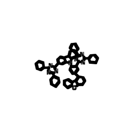 c1ccc(-c2nc(-c3ccccc3)nc(-c3ccc4c5ccccc5n(-c5ccc(-c6cccc7oc8ccccc8c67)cc5-c5nc(-c6ccccc6)nc(-c6ccccc6)n5)c4c3)n2)cc1